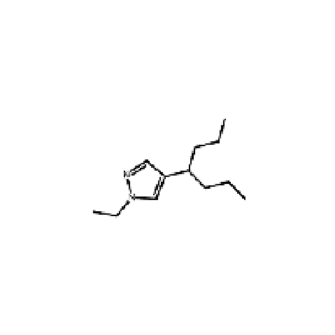 CCCC(CCC)c1cnn(CC)c1